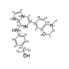 CN1CCOc2cc(-c3cn4ccnc4c(Nc4ccc(C(C)(C)O)cc4)n3)ccc21